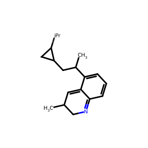 CC1C=c2c(C(C)CC3CC3C(C)C)cccc2=NC1